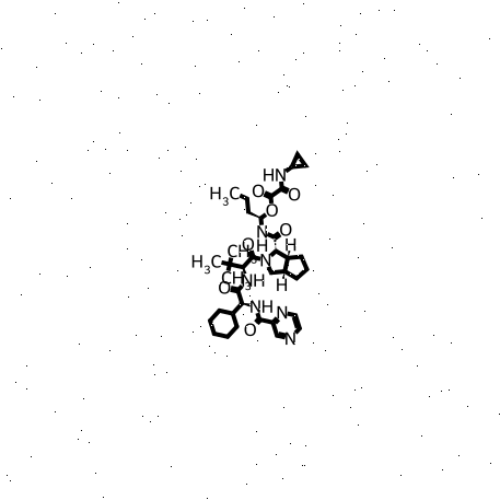 CCC[C@H](NC(=O)[C@@H]1[C@H]2CCC[C@H]2CN1C(=O)[C@@H](NC(=O)[C@@H](NC(=O)c1cnccn1)C1CCCCC1)C(C)(C)C)OC(=O)C(=O)NC1CC1